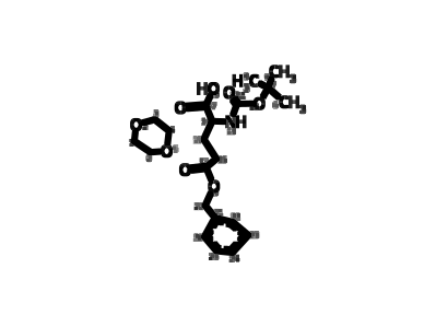 C1COCCO1.CC(C)(C)OC(=O)NC(CCC(=O)OCc1ccccc1)C(=O)O